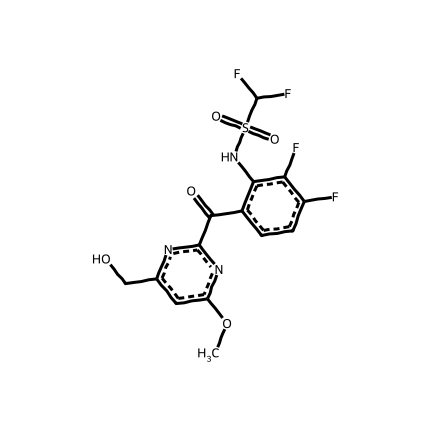 COc1cc(CO)nc(C(=O)c2ccc(F)c(F)c2NS(=O)(=O)C(F)F)n1